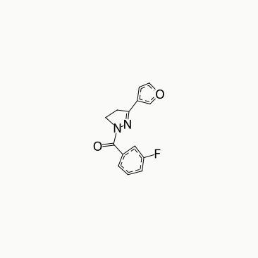 O=C(c1cccc(F)c1)N1CCC(c2ccoc2)=N1